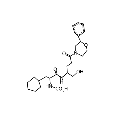 O=C(O)NC(CC1CCCCC1)C(=O)NC(CO)CCC(=O)N1CCOC(c2ccccc2)C1